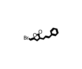 O=C1OC(=CBr)CC1CC=Cc1ccccc1